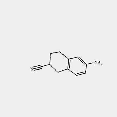 N#CC1CCc2cc(N)ccc2C1